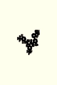 COc1ccc(-c2cccc(C(=O)O)c2F)cc1C(=O)Nc1c(C(=O)Nc2ccc(F)c(C(F)(F)F)c2)sc2cc(C(F)(F)F)ccc12